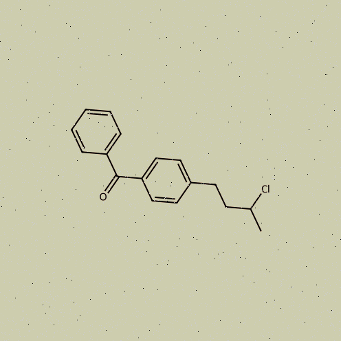 CC(Cl)CCc1ccc(C(=O)c2ccccc2)cc1